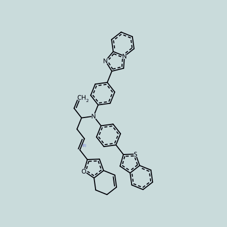 C=CC(C/C=C/c1cc2c(o1)CCC=C2)N(c1ccc(-c2cn3ccccc3n2)cc1)c1ccc(-c2cc3ccccc3s2)cc1